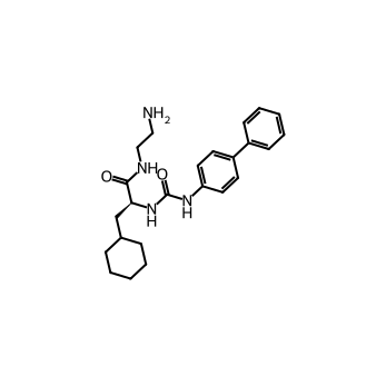 NCCNC(=O)[C@H](CC1CCCCC1)NC(=O)Nc1ccc(-c2ccccc2)cc1